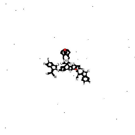 N#CC(C#N)=C1/C(=N/c2cc3c(s2)-c2sc4c(sc5cc(/N=C6/C(=O)c7cc(F)c(F)cc7C6=C(C#N)C#N)sc54)c2C3(C(=O)OCc2ccccc2)C(=O)OCc2ccccc2)C(=O)c2cc(F)c(F)cc21